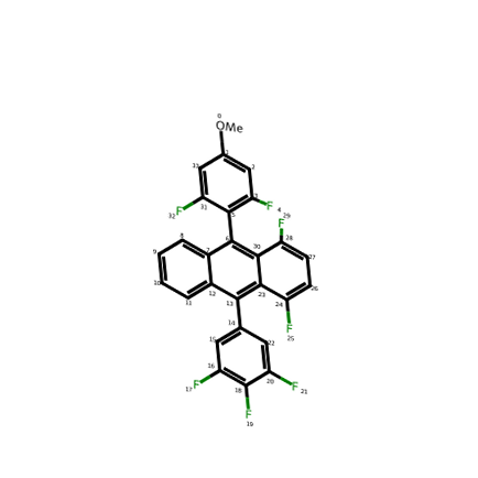 COc1cc(F)c(-c2c3ccccc3c(-c3cc(F)c(F)c(F)c3)c3c(F)ccc(F)c23)c(F)c1